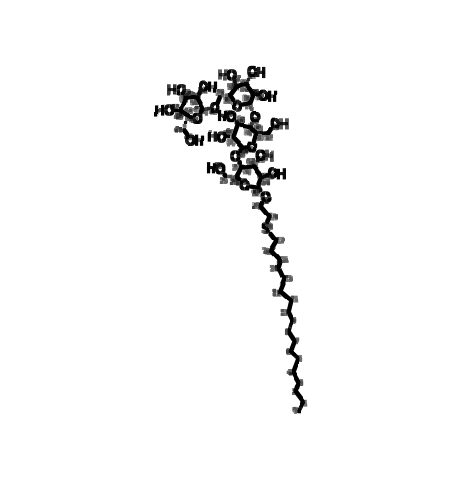 CCCCCCCCCCCCCCCCCCSCCO[C@H]1O[C@H](CO)[C@@H](O[C@@H]2O[C@H](CO)[C@@H](O[C@@H]3O[C@H](CO[C@@H]4O[C@H](CO)[C@@H](O)[C@H](O)[C@H]4O)[C@@H](O)[C@H](O)[C@H]3O)[C@H](O)[C@H]2O)[C@H](O)[C@H]1O